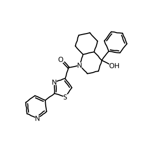 O=C(c1csc(-c2cccnc2)n1)N1CCC(O)(c2ccccc2)C2CCCCC21